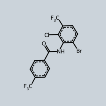 O=C(Nc1c(Br)ccc(C(F)(F)F)c1Cl)c1ccc(C(F)(F)F)cc1